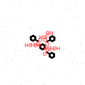 O=C(Oc1ccc(OC(=O)c2ccccc2B(O)O)c(OC(=O)c2ccccc2B(O)O)c1)c1ccccc1B(O)O